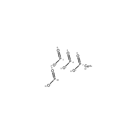 O=P[O-].O=P[O-].O=P[O-].O=P[O-].[Ge+4]